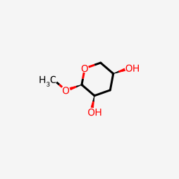 CO[C@H]1OC[C@@H](O)C[C@H]1O